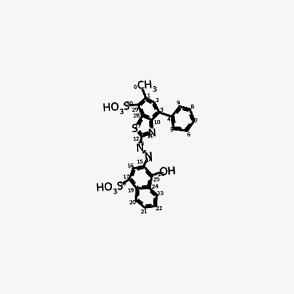 Cc1cc(-c2ccccc2)c2nc(/N=N/c3cc(S(=O)(=O)O)c4ccccc4c3O)sc2c1S(=O)(=O)O